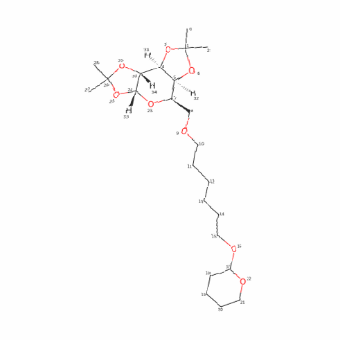 CC1(C)O[C@H]2[C@@H](O1)[C@@H](COCCCCCCOC1CCCCO1)O[C@@H]1OC(C)(C)O[C@@H]12